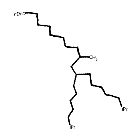 CCCCCCCCCCCCCCCCCC(C)CC(CCCCCC(C)C)CCCCCC(C)C